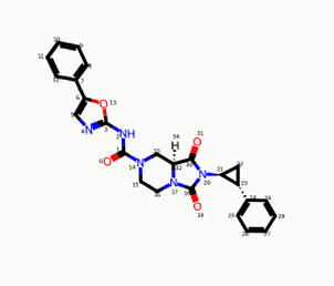 O=C(Nc1ncc(-c2ccccc2)o1)N1CCN2C(=O)N([C@H]3C[C@@H]3c3ccccc3)C(=O)[C@@H]2C1